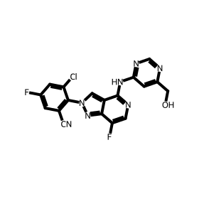 N#Cc1cc(F)cc(Cl)c1-n1cc2c(Nc3cc(CO)ncn3)ncc(F)c2n1